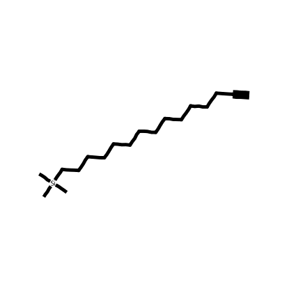 C#CCCCCCCCCCCCCC[Si](C)(C)C